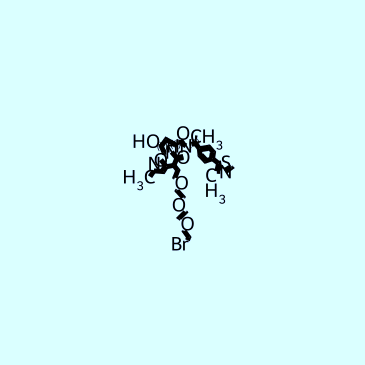 Cc1cc(C(CCOCCOCCOCCBr)C(=O)N2C[C@H](O)C[C@H]2C(=O)N[C@@H](C)c2ccc(-c3scnc3C)cc2)on1